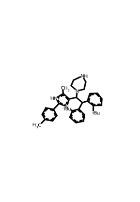 Cc1ccc(-c2nc(C(C(c3ccccc3C(C)(C)C)c3ccccc3C(C)(C)C)N3CCNCC3)c(C)[nH]2)cc1